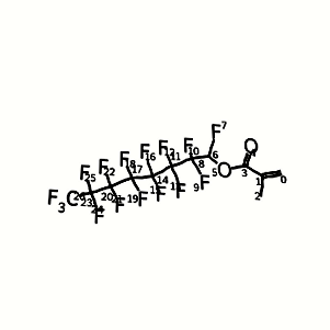 C=C(C)C(=O)OC(F)C(F)(F)C(F)(F)C(F)(F)C(F)(F)C(F)(F)C(F)(F)C(F)(F)F